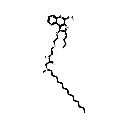 CCCCCCCCCCCCCCN(C)CC(=O)NCCOCCOn1c(CCCC)nc2c(N)nc3ccccc3c21